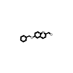 O=Cc1ccc2cc(OCc3ccccc3)ccc2n1